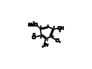 COc1cc(O)c(Cl)c(C(C)C)c1Cl